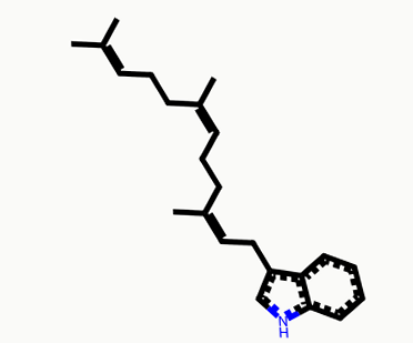 CC(C)=CCCC(C)=CCCC(C)=CCc1c[nH]c2ccccc12